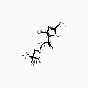 Cc1nc(Cl)c(C(=O)NOCC(C)(C)O)s1